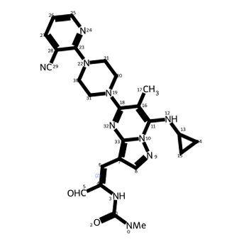 CNC(=O)N/C(C=O)=C\c1cnn2c(NC3CC3)c(C)c(N3CCN(c4ncccc4C#N)CC3)nc12